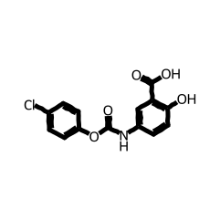 O=C(Nc1ccc(O)c(C(=O)O)c1)Oc1ccc(Cl)cc1